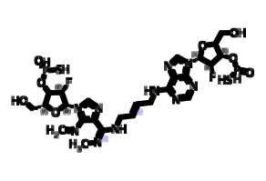 C=Nc1c(/C(=N\C)NC/C=C/CNc2ncnc3c2ncn3[C@@H]2OC(CO)[C@@H](O[PH](=O)S)[C@H]2F)ncn1[C@@H]1O[C@H](CO)C(O[PH](=O)S)[C@H]1F